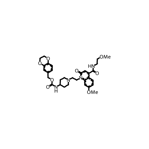 COCCNC(=O)c1cc(=O)n(CCN2CCC(NC(=O)OCc3ccc4c(c3)OCCO4)CC2)c2cc(OC)ccc12